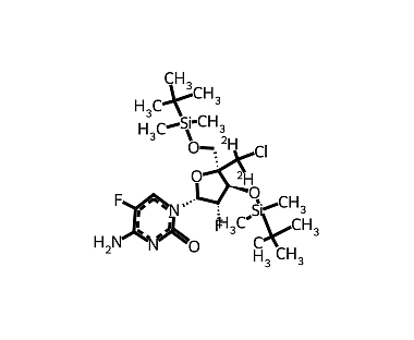 [2H]C([2H])(Cl)[C@]1(CO[Si](C)(C)C(C)(C)C)O[C@@H](n2cc(F)c(N)nc2=O)[C@@H](F)[C@@H]1O[Si](C)(C)C(C)(C)C